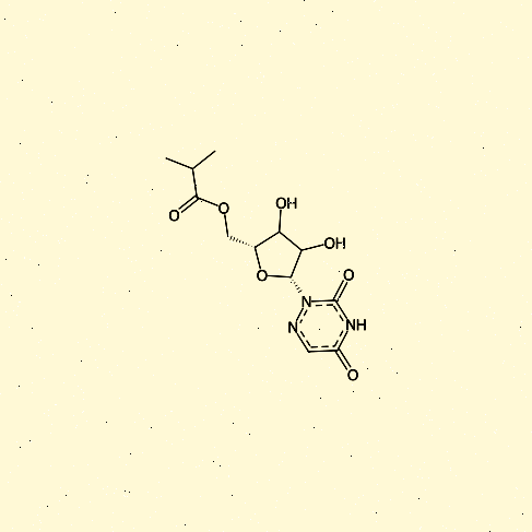 CC(C)C(=O)OC[C@H]1O[C@@H](n2ncc(=O)[nH]c2=O)C(O)C1O